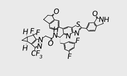 O=C(Cn1nc(C(F)(F)F)c2c1C(F)(F)[C@@H]1C[C@H]21)N[C@@H](Cc1cc(F)cc(F)c1)c1nc2nc(-c3ccc4c(c3)C(=O)NC4)sc2cc1-c1ccc2c(c1)C(=O)CC2